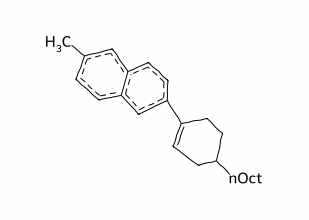 CCCCCCCCC1CC=C(c2ccc3cc(C)ccc3c2)CC1